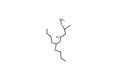 CCCOC(OCCC)O[SiH2]CC(C)CN